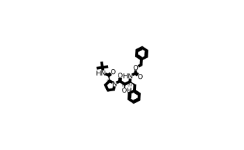 CC(C)(C)NC(=O)[C@@H]1CCCN1C(=O)[C@@H](O)[C@H](Cc1ccccc1)NC(=O)OCc1ccccc1